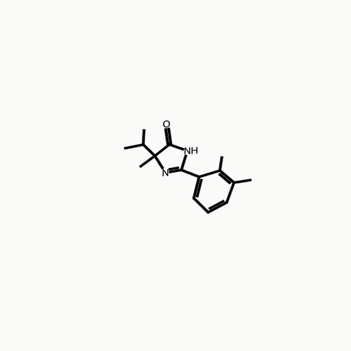 Cc1cccc(C2=NC(C)(C(C)C)C(=O)N2)c1C